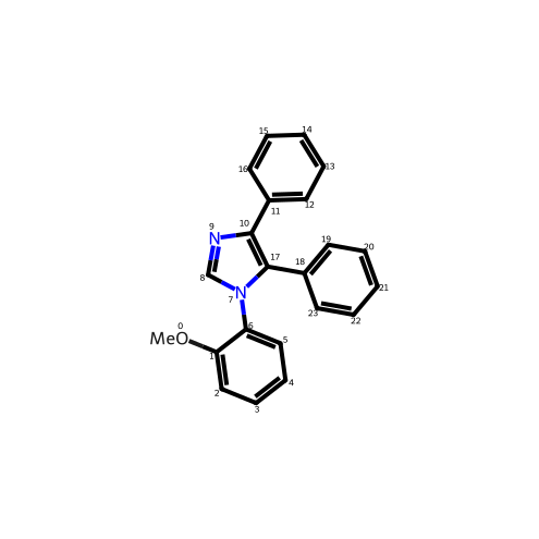 COc1ccccc1-n1cnc(-c2ccccc2)c1-c1ccccc1